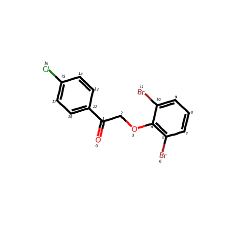 O=C(COc1c(Br)cccc1Br)c1ccc(Cl)cc1